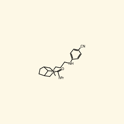 CCCC(=O)N1CC2CCC(C1)C2N(C)CCCNc1ccc(C#N)cc1